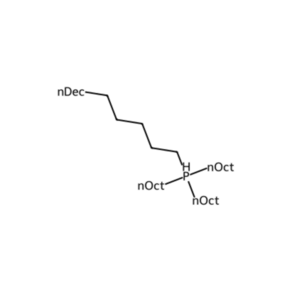 CCCCCCCCCCCCCCC[PH](CCCCCCCC)(CCCCCCCC)CCCCCCCC